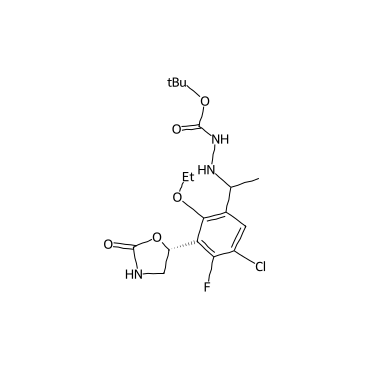 CCOc1c(C(C)NNC(=O)OC(C)(C)C)cc(Cl)c(F)c1[C@@H]1CNC(=O)O1